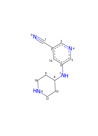 N#Cc1cncc(NC2CCNCC2)c1